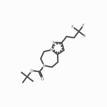 CC(C)(C)OC(=O)N1CCc2cc(CCC(F)(F)F)nn2CC1